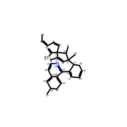 C=C(CC)C(C)(/C=C\C=C/C)C(C)C(C)(C=CC)C1CC=CC=C1c1nccc2c1=CCC(C)C=2